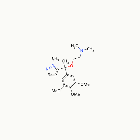 COc1cc(C(C)(OCCN(C)C)c2ccnn2C)cc(OC)c1OC